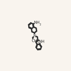 CCN(Cc1cc2ccccc2[nH]1)C1CCc2c(N)cccc2C1